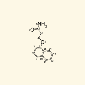 NC(=O)CCOc1cccc2ccccc12